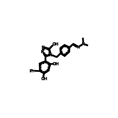 CC(C)c1cc(-c2nnc(O)n2Cc2ccc(C=NN(C)C)cc2)c(O)cc1O